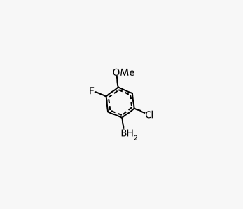 Bc1cc(F)c(OC)cc1Cl